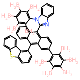 Bc1c(B)c(B)c(-c2ccc3c(-c4nc5ccccc5n4-c4c(B)c(B)c(B)c(B)c4B)c4ccccc4c(-c4cccc5sc6ccccc6c45)c3c2)c(B)c1B